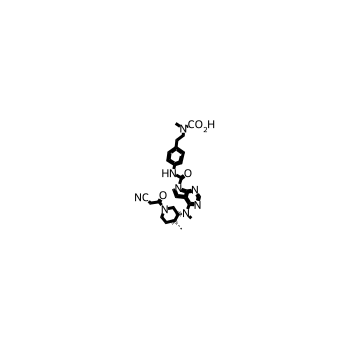 C[C@@H]1CCN(C(=O)CC#N)C[C@@H]1N(C)c1ncnc2c1ccn2C(=O)Nc1ccc(CCN(C)C(=O)O)cc1